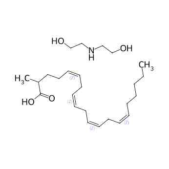 CCCCC/C=C\C/C=C\C/C=C\C/C=C\CCC(C)C(=O)O.OCCNCCO